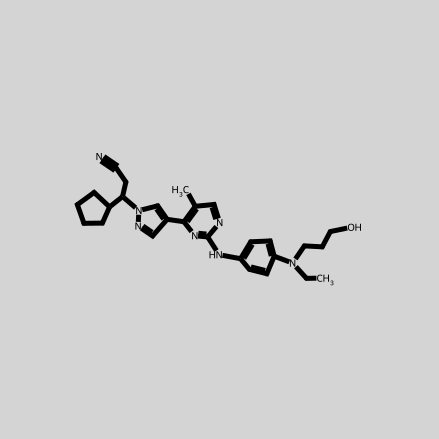 CCN(CCCO)c1ccc(Nc2ncc(C)c(-c3cnn(C(CC#N)C4CCCC4)c3)n2)cc1